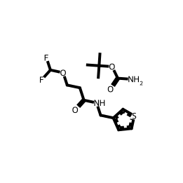 CC(C)(C)OC(N)=O.O=C(CCOC(F)F)NCc1ccsc1